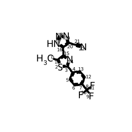 Cc1sc(-c2ccc(C(F)(F)F)cc2)nc1-c1[nH]nnc1C#N